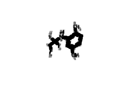 Cc1ccc(O)cc1NC(F)(F)CF